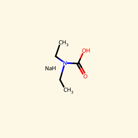 CCN(CC)C(=O)O.[NaH]